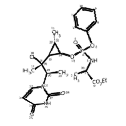 CCOC(=O)[C@@H](C)NP(=O)(Oc1ccccc1)OC1C([C@@](C)(Cl)[C@@H](C)n2ccc(=O)[nH]c2=O)[C@@H]1C